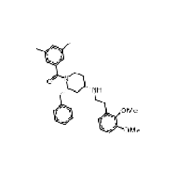 COc1cccc(CCN[C@H]2CCN(C(=O)c3cc(C)cc(C)c3)[C@@H](Cc3ccccc3)C2)c1OC